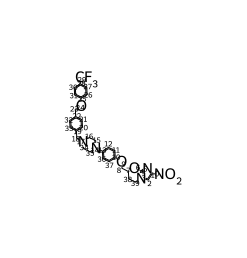 O=[N+]([O-])c1cn2c(n1)OC(COc1ccc(N3CCN(Cc4ccc(COc5ccc(C(F)(F)F)cc5)cc4)CC3)cc1)CC2